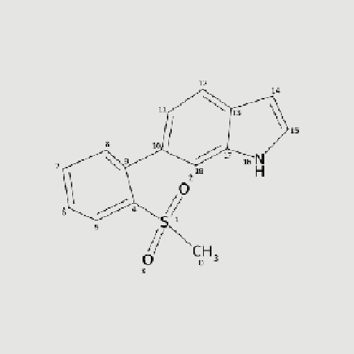 CS(=O)(=O)c1c[c]ccc1-c1ccc2cc[nH]c2c1